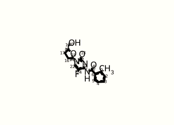 Cc1ccccc1C(=O)Nc1nc(=O)n([C@H]2CC[C@@H](CO)O2)cc1F